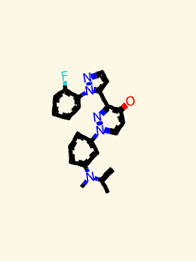 C=C(C)N(C)c1cccc(-n2ccc(=O)c(-c3ccnn3-c3ccccc3F)n2)c1